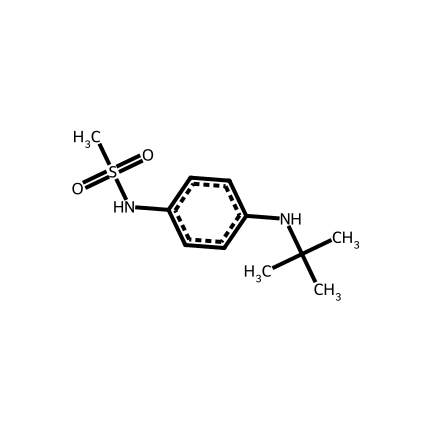 CC(C)(C)Nc1ccc(NS(C)(=O)=O)cc1